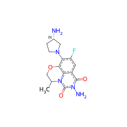 CC1COc2c(N3CC[C@H](N)C3)c(F)cc3c(=O)n(N)c(=O)n1c23